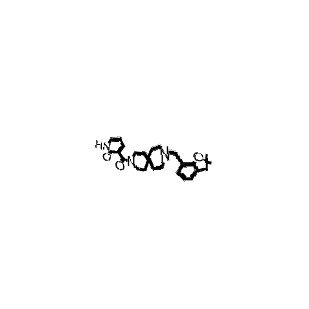 CC1(C)Cc2cccc(CN3CCC4(CC3)CCN(C(=O)c3ccc[nH]c3=O)CC4)c2O1